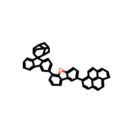 c1ccc2c(c1)-c1cc(-c3cccc4c3oc3ccc(-c5ccc6ccc7cccc8ccc5c6c78)cc34)ccc1C21C2CC3CC(C2)CC1C3